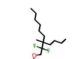 CCCCCCC(C)(CCCC)C(F)(F)COC